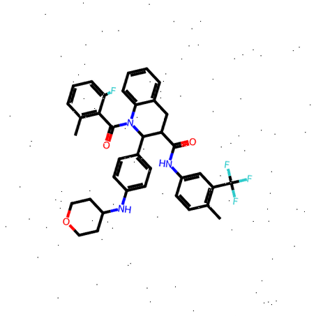 Cc1ccc(NC(=O)C2Cc3ccccc3N(C(=O)c3c(C)cccc3F)C2c2ccc(NC3CCOCC3)cc2)cc1C(F)(F)F